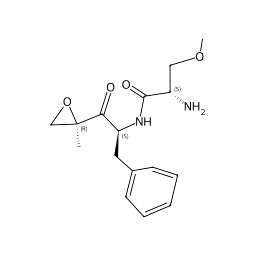 COC[C@H](N)C(=O)N[C@@H](Cc1ccccc1)C(=O)[C@@]1(C)CO1